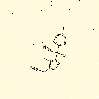 Cc1ccc(C(O)(C#N)c2ccc(CC#N)n2C)cc1